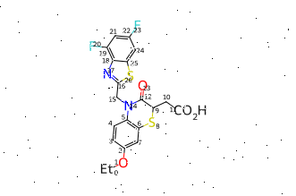 CCOc1ccc2c(c1)SC(CC(=O)O)C(=O)N2Cc1nc2c(F)cc(F)cc2s1